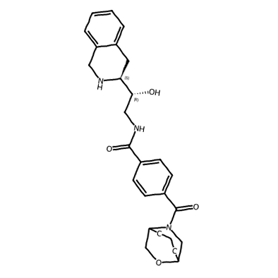 O=C(NC[C@@H](O)[C@@H]1Cc2ccccc2CN1)c1ccc(C(=O)N2CC3CCCC2CO3)cc1